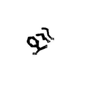 CCCO.CCCO.O=C(O)c1ccccc1